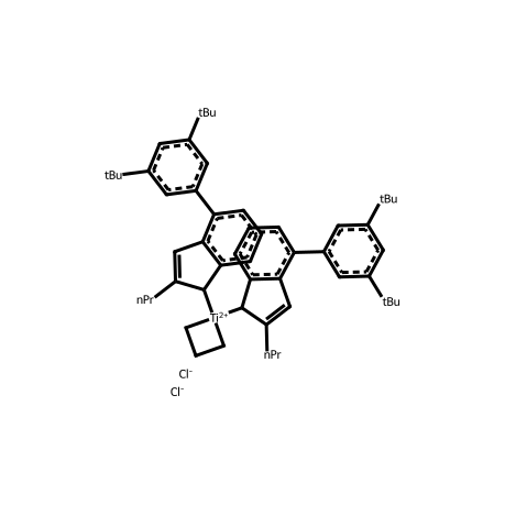 CCCC1=Cc2c(-c3cc(C(C)(C)C)cc(C(C)(C)C)c3)cccc2[CH]1[Ti+2]1([CH]2C(CCC)=Cc3c(-c4cc(C(C)(C)C)cc(C(C)(C)C)c4)cccc32)[CH2]C[CH2]1.[Cl-].[Cl-]